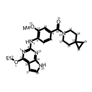 CCOc1nc(Nc2ccc(C(=O)N3CCC4(CC3)CC4)cc2OC)nc2[nH]ccc12